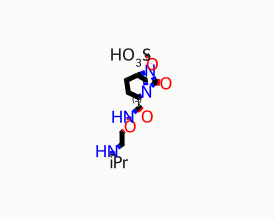 CC(C)NCCONC(=O)[C@@H]1CCC2CN1C(=O)N2OS(=O)(=O)O